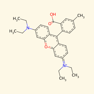 CCN(CC)c1ccc2c(-c3ccc(C)cc3C(=O)O)c3ccc(=[N+](CC)CC)cc-3oc2c1